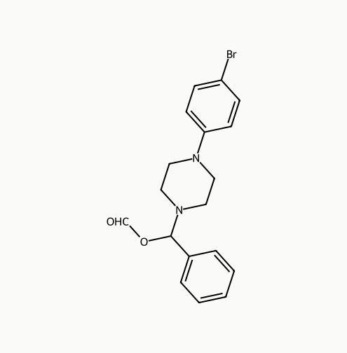 O=COC(c1ccccc1)N1CCN(c2ccc(Br)cc2)CC1